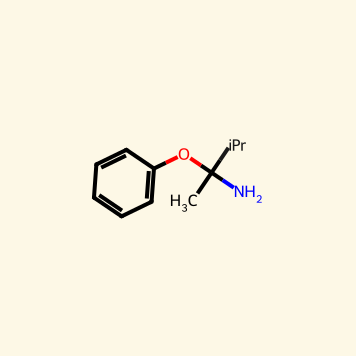 CC(C)C(C)(N)Oc1ccccc1